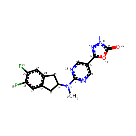 CN(c1ncc(-c2n[nH]c(=O)o2)cn1)C1Cc2cc(F)c(F)cc2C1